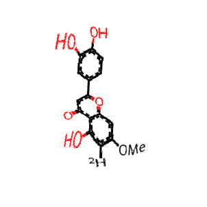 [2H]c1c(OC)cc2oc(-c3ccc(O)c(O)c3)cc(=O)c2c1O